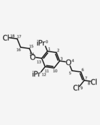 CC(C)c1cc(OCC=C(Cl)Cl)cc(C(C)C)c1OCCCCl